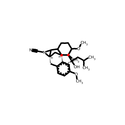 COc1ccc2c(c1)[C@]13C[C@]4(C2)C(N4C#N)C12CCC(OC)(C(C(C)(O)CC(C)C)C2)C3C